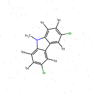 [2H]c1c(Br)c([2H])c2c3c([2H])c(Br)c([2H])c([2H])c3n(C)c2c1[2H]